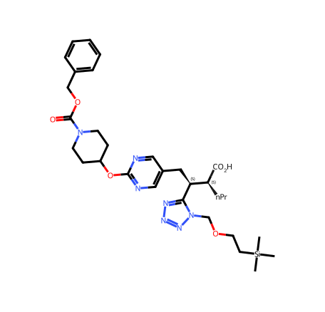 CCC[C@H](C(=O)O)[C@H](Cc1cnc(OC2CCN(C(=O)OCc3ccccc3)CC2)nc1)c1nnnn1COCC[Si](C)(C)C